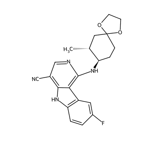 C[C@@H]1CC2(CC[C@H]1Nc1ncc(C#N)c3[nH]c4ccc(F)cc4c13)OCCO2